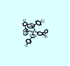 CCn1c2ccccc2c2cc(N(CC34CC5CC(C3)CC(c3ccc(Cl)cc3)(C5)C4)N(CC34CC5CC(C3)CC(c3ccc(Cl)cc3)(C5)C4)c3ncc(-c4ccc(Cl)cc4)s3)ccc21